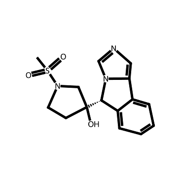 CS(=O)(=O)N1CCC(O)([C@H]2c3ccccc3-c3cncn32)C1